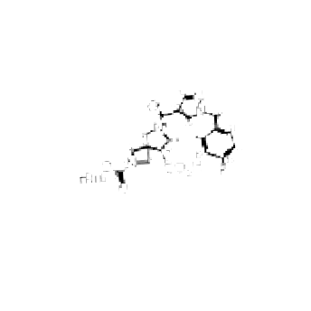 CC(C)(C)OC(=O)N1CC2(C1)CN(C(=O)c1cnn(Cc3ccc(F)cc3)c1)C[C@H]2C(=O)O